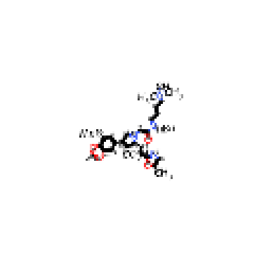 CCCCN(CCCC[N+](C)(C)C)C(=O)CN1C[C@H](c2cc(OC)c3c(c2)OCO3)[C@@H](C(=O)O)[C@@H]1CCc1ncc(C)o1